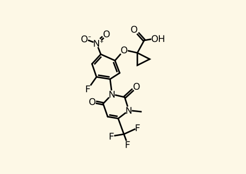 Cn1c(C(F)(F)F)cc(=O)n(-c2cc(OC3(C(=O)O)CC3)c([N+](=O)[O-])cc2F)c1=O